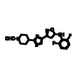 O=CN1CCC(c2nc(C3=NOC(Bc4c(F)cccc4F)C3)cs2)CC1